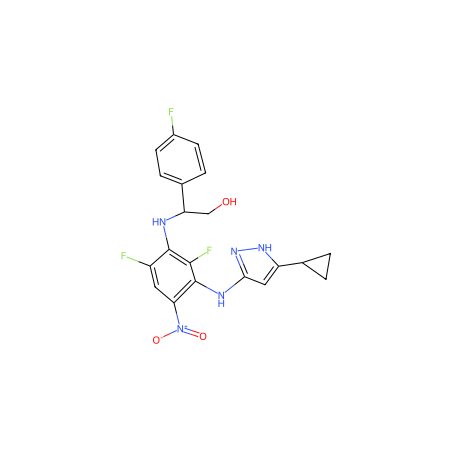 O=[N+]([O-])c1cc(F)c(NC(CO)c2ccc(F)cc2)c(F)c1Nc1cc(C2CC2)[nH]n1